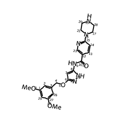 COc1cc(COc2cc(NC(=O)c3ccc(N4CCNCC4)nc3)[nH]n2)cc(OC)c1